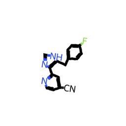 N#Cc1ccnc(-c2nc[nH]c2Cc2ccc(F)cc2)c1